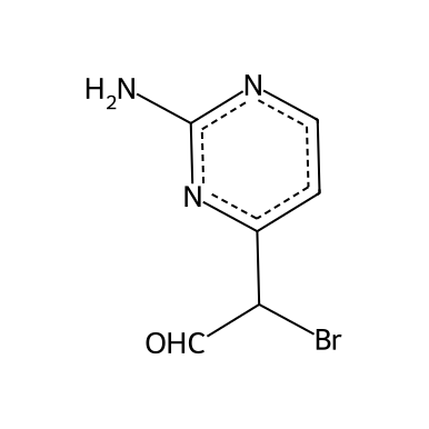 Nc1nccc(C(Br)C=O)n1